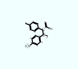 C=C(C(C)=O)[C@@H](c1ccc(C)cc1)[C@@H](C)c1ccc([N+](=O)[O-])cc1